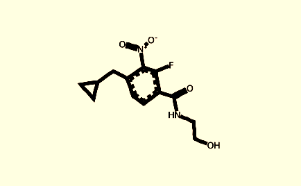 O=C(NCCO)c1ccc(CC2CC2)c([N+](=O)[O-])c1F